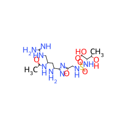 CC(=O)NC(CNC(=N)N)C[C@H](N)c1noc(CNS(=O)(=O)N[C@H](C(=O)O)C(C)O)n1